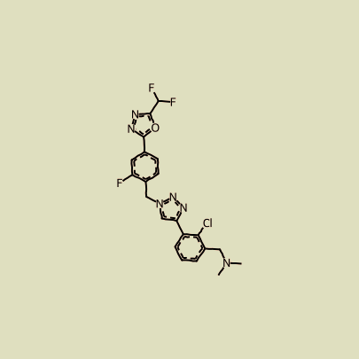 CN(C)Cc1cccc(-c2cn(Cc3ccc(-c4nnc(C(F)F)o4)cc3F)nn2)c1Cl